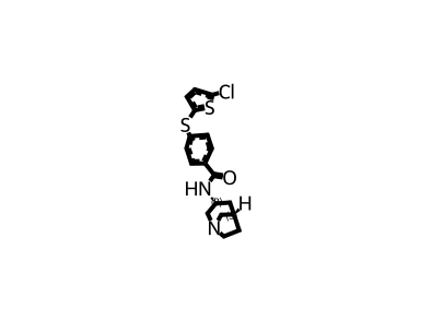 O=C(N[C@@H]1C[C@@H]2CCN(C2)C1)c1ccc(Sc2ccc(Cl)s2)cc1